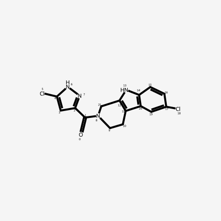 O=C(c1cc(Cl)[nH]n1)N1CCc2c([nH]c3ccc(Cl)cc23)C1